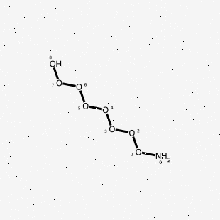 NOOOOOOOO